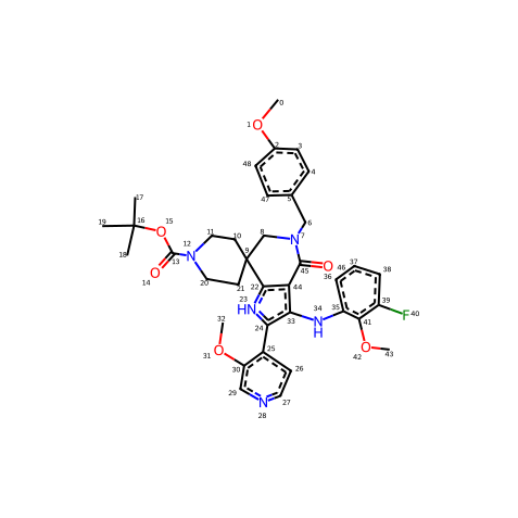 COc1ccc(CN2CC3(CCN(C(=O)OC(C)(C)C)CC3)c3[nH]c(-c4ccncc4OC)c(Nc4cccc(F)c4OC)c3C2=O)cc1